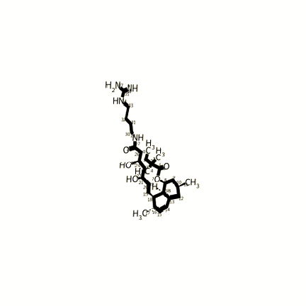 CCC(C)(C)C(=O)O[C@H]1C[C@@H](C)C=C2C=C[C@H](C)[C@@H](CC[C@@H](O)C[C@@H](O)CC(=O)NCCCCNC(=N)N)[C@H]21